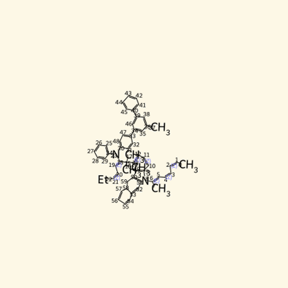 C\C=C/C=C\C=C(/C)n1c(/C=C\C=C(/C)C(C)(C)/C(=C\C=C/CC)N(c2ccccc2)c2ccc(-c3cc(C)cc(-c4ccccc4)c3)cc2)cc2c1C=C1C=CC=CC1C2